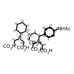 CC(=O)Nc1ccc([C@H](CN(CC(=O)O)[C@H]2CCCC[C@@H]2N(CC(=O)O)CC(=O)O)N(CC(=O)O)CC(=O)O)cc1